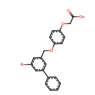 O=C(O)COc1ccc(OCc2cc(Br)cc(-c3ccccc3)c2)cc1